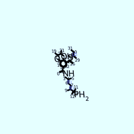 C=C(NC/C(C)=C/C=C(\C)C(C)(C)P)c1cc(OC(C)C(C)O)cc(C(=C)S/C(C)=C\C)c1